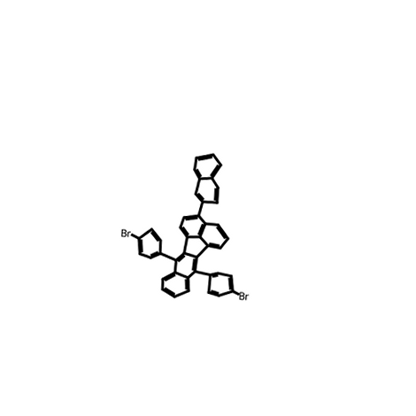 Brc1ccc(-c2c3c(c(-c4ccc(Br)cc4)c4ccccc24)-c2ccc(-c4ccc5ccccc5c4)c4cccc-3c24)cc1